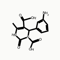 CC1=C(C(=O)O)C(c2cccc(N)c2)N(C(=O)O)C(=O)N1